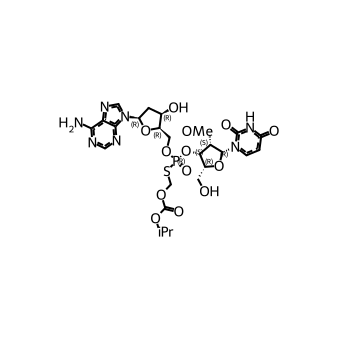 CO[C@H]1[C@@H](O[P@@](=O)(OC[C@H]2O[C@@H](n3cnc4c(N)ncnc43)C[C@H]2O)SCOC(=O)OC(C)C)[C@@H](CO)O[C@H]1n1ccc(=O)[nH]c1=O